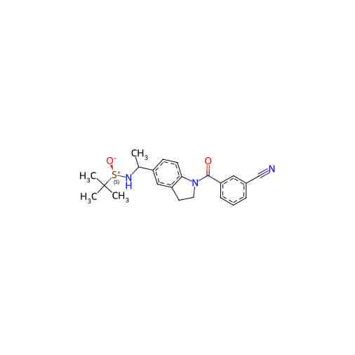 CC(N[S@+]([O-])C(C)(C)C)c1ccc2c(c1)CCN2C(=O)c1cccc(C#N)c1